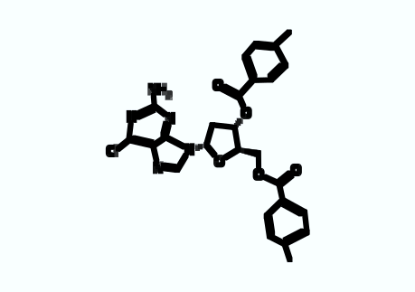 Cc1ccc(C(=O)OC[C@H]2O[C@H](n3cnc4c(Cl)nc(N)nc43)C[C@@H]2OC(=O)c2ccc(C)cc2)cc1